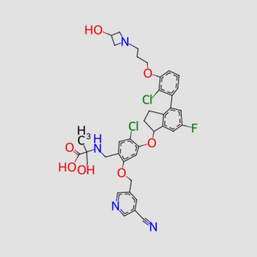 CC(CO)(NCc1cc(Cl)c(OC2CCc3c(-c4cccc(OCCCN5CC(O)C5)c4Cl)cc(F)cc32)cc1OCc1cncc(C#N)c1)C(=O)O